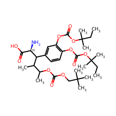 CCC(C)(C)OC(=O)Oc1ccc(C(C(C)C(C)OC(=O)OCC(C)(C)C)[C@H](N)C(=O)O)cc1OC(=O)OC(C)(C)CC